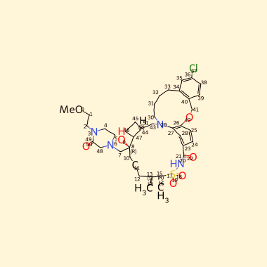 COCCN1CCN(C[C@@]2(O)CCC[C@H](C)[C@@H](C)S(=O)(=O)NC(=O)c3ccc4c(c3)N(CCCCc3cc(Cl)ccc3CO4)C[C@@H]3CCC32)CC1=O